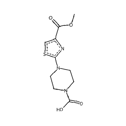 COC(=O)c1csc(N2CCN(C(=O)O)CC2)n1